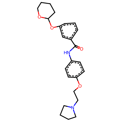 O=C(Nc1ccc(OCCN2CCCC2)cc1)c1cccc(OC2CCCCO2)c1